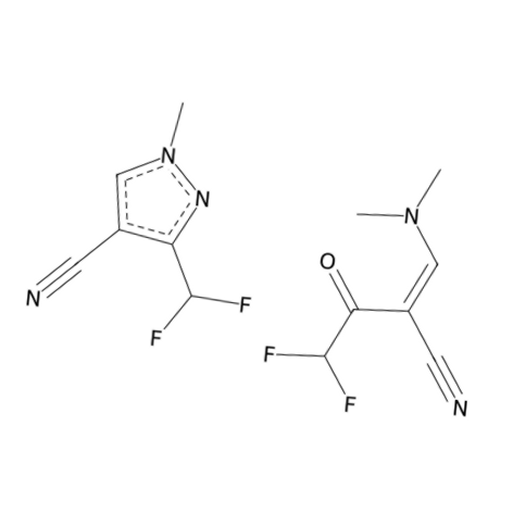 CN(C)C=C(C#N)C(=O)C(F)F.Cn1cc(C#N)c(C(F)F)n1